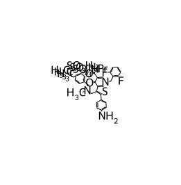 CC(C)C(=O)c1cn(Cc2c(F)cccc2F)c2sc(-c3ccc(N)cc3)c(CN(C)Cc3ccccc3)c2c1=O.CS(=O)(=O)O.CS(=O)(=O)O.CS(=O)(=O)O